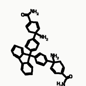 NC(=O)C1=CCC(N)(c2ccc(C3(c4ccc(C5(N)C=CC(C(N)=O)=CC5)cc4)c4ccccc4-c4ccccc43)cc2)C=C1